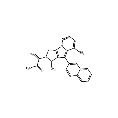 C=C(C(N)=O)C1Cc2c(c(-c3cnc4ccccc4c3)c3c(N)ncnn23)C1C